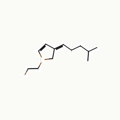 CC(C)CCC=C1C=C[SH](CCS)C1